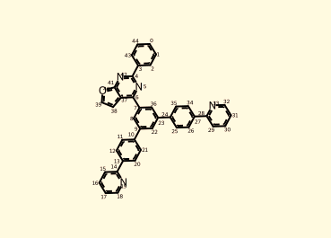 c1ccc(-c2nc(-c3cc(-c4ccc(-c5ccccn5)cc4)cc(-c4ccc(-c5ccccn5)cc4)c3)c3ccoc3n2)cc1